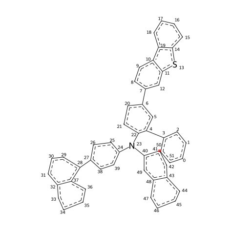 c1ccc(-c2cc(-c3ccc4c(c3)sc3ccccc34)ccc2N(c2ccc(-c3cccc4ccccc34)cc2)c2ccc3ccccc3c2)cc1